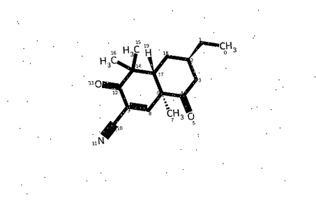 CC[C@H]1CC(=O)[C@@]2(C)C=C(C#N)C(=O)C(C)(C)[C@@H]2C1